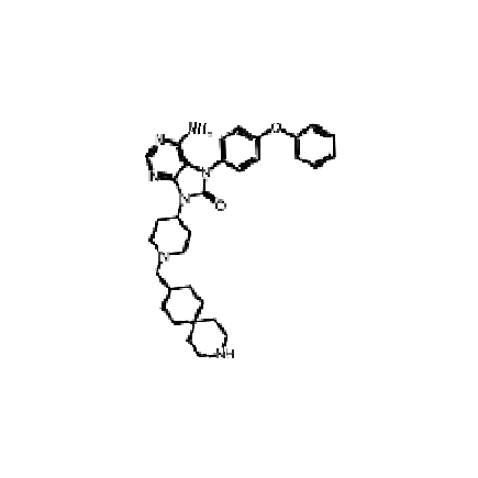 Nc1ncnc2c1n(-c1ccc(Oc3ccccc3)cc1)c(=O)n2C1CCN(CC2CCC3(CCNCC3)CC2)CC1